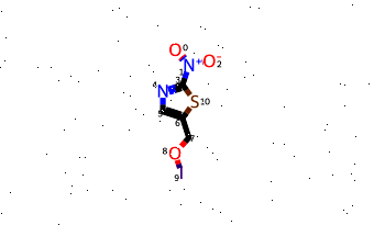 O=[N+]([O-])c1ncc(COI)s1